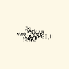 COC[C@H]1CCCN1c1nc2ccc(-n3cc(C(=O)O)c(=O)cc3-c3ccc(N4CCCC4)cc3)cc2s1